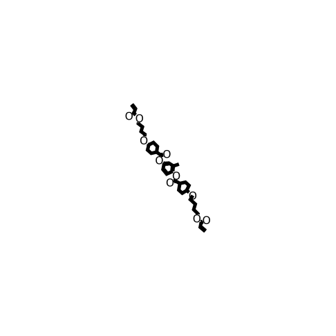 C=CC(=O)OCCCCOC1CCC(C(=O)Oc2ccc(OC(=O)C3CCC(OCCCCOC(=O)C=C)CC3)c(C)c2)CC1